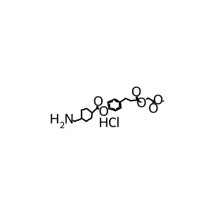 COC(=O)COC(=O)CCc1ccc(OC(=O)C2CCC(CN)CC2)cc1.Cl